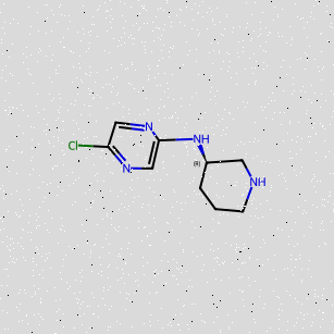 Clc1cnc(N[C@@H]2CCCNC2)cn1